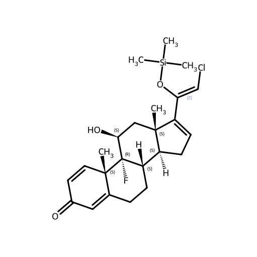 C[C@]12C=CC(=O)C=C1CC[C@H]1[C@@H]3CC=C(/C(=C/Cl)O[Si](C)(C)C)[C@@]3(C)C[C@H](O)[C@@]12F